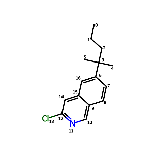 CCCC(C)(C)c1ccc2cnc(Cl)cc2c1